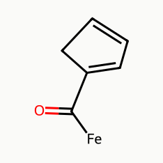 O=[C]([Fe])C1=CC=CC1